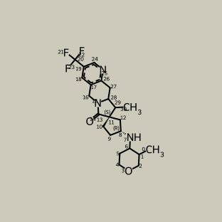 CC1COCCC1N[C@@H]1CC[C@@]2(C1)C(=O)N1Cc3cc(C(F)(F)F)cnc3CC1C2C